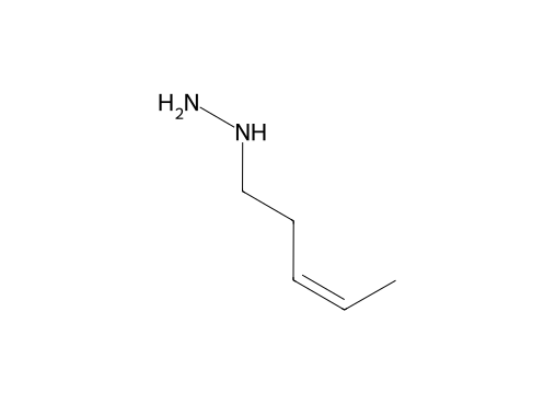 C/C=C\CCNN